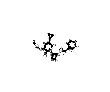 O=c1c(N=C=S)cc(C2CC2)cn1[C@@H]1CC[C@H]1OCc1ccccc1